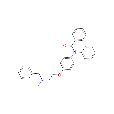 CN(CCOc1ccc(N(C(=O)c2ccccc2)c2ccccc2)cc1)Cc1ccccc1